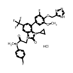 COc1cc(-c2cc(C(F)(F)F)cc3c2n(C2CC2)c(=O)n3CC(=O)N(C)c2ccc(F)cc2)cc(F)c1OCc1nnc[nH]1.Cl